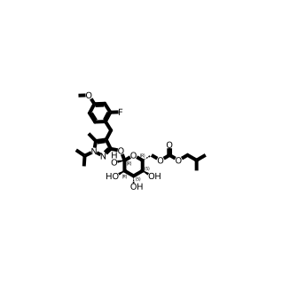 COc1ccc(Cc2c(O[C@]3(O)O[C@H](COC(=O)OCC(C)C)[C@@H](O)[C@H](O)[C@H]3O)nn(C(C)C)c2C)c(F)c1